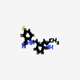 Cc1cc2c(CNc3ccc(F)cc3C#N)cccc2[nH]1